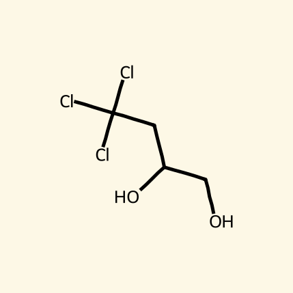 OCC(O)CC(Cl)(Cl)Cl